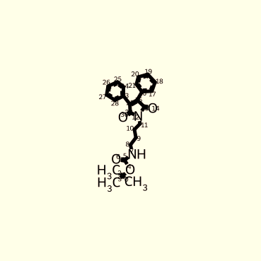 CC(C)(C)OC(=O)NCCCCN1C(=O)C(c2ccccc2)=C(c2ccccc2)C1=O